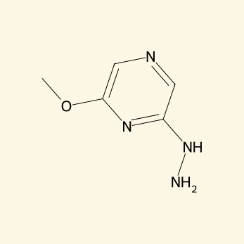 COc1cncc(NN)n1